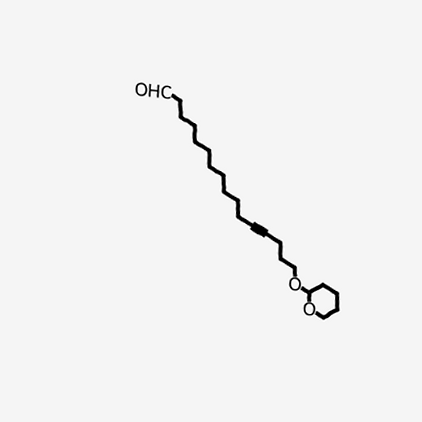 O=CCCCCCCCCCCC#CCCCOC1CCCCO1